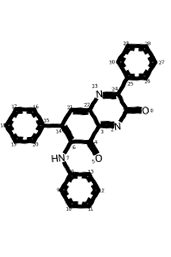 O=C1N=C2C(=O)C(Nc3ccccc3)=C(c3ccccc3)C=C2N=C1c1ccccc1